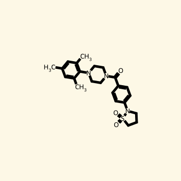 Cc1cc(C)c(N2CCN(C(=O)c3ccc(N4CCCS4(=O)=O)cc3)CC2)c(C)c1